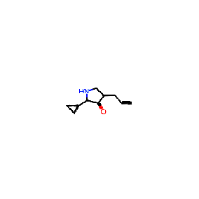 C=CCC1CNC(C2CC2)C1=O